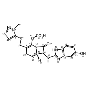 Cn1nnnc1SCC1=C(OC(=O)O)N2C(=O)C(Nc3nc4cc(O)ccc4[nH]3)[C@@H]2SC1